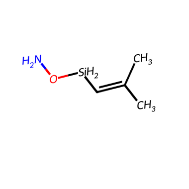 CC(C)=C[SiH2]ON